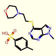 Cc1ccc(S(=O)(=O)O)cc1.Cn1ncc2c(SCCN3CCOCC3)ncnc21